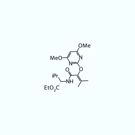 CCOC(=O)[C@@H](NC(=O)C(Oc1nc(OC)cc(OC)n1)=C(C)C)C(C)C